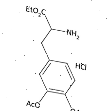 CCOC(=O)C(N)Cc1ccc(OC(C)=O)c(OC(C)=O)c1.Cl